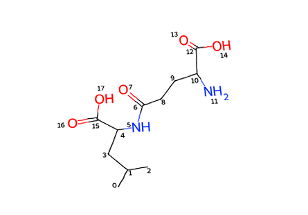 CC(C)CC(NC(=O)CCC(N)C(=O)O)C(=O)O